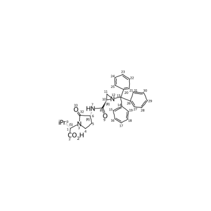 CC(C)[C@@H](C(=O)O)N1CC[C@@H](NC(=O)[C@H]2CN2C(c2ccccc2)(c2ccccc2)c2ccccc2)C1=O